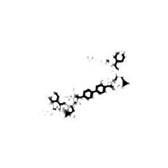 COC(=O)N[C@H](C(=O)N[C@@H](CC1CC1)c1nc(Cl)c(-c2ccc(-c3ccc(-c4[nH]c([C@@H]5C[C@H]6C[C@H]6N5C(=O)[C@@H](NC(=O)OC)C5CCOCC5)nc4Cl)cc3)cc2)[nH]1)C1CCOCC1